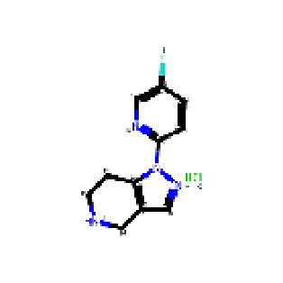 Cl.Fc1ccc(-n2ncc3c2CCNC3)nc1